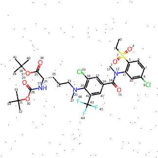 CCS(=O)(=O)c1ccc(Cl)cc1N(C)C(=O)c1cc(Cl)c(N(C)CCC[C@H](NC(=O)OC(C)(C)C)C(=O)OC(C)(C)C)c(C(F)(F)F)c1